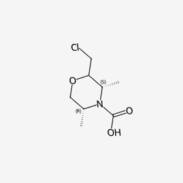 C[C@@H]1COC(CCl)[C@H](C)N1C(=O)O